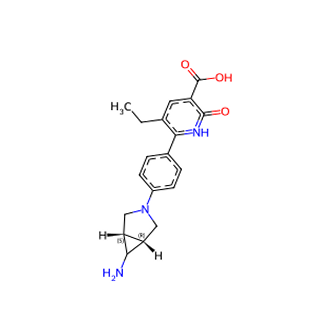 CCc1cc(C(=O)O)c(=O)[nH]c1-c1ccc(N2C[C@@H]3C(N)[C@@H]3C2)cc1